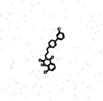 O=c1[nH]c2c(Cl)cccc2c(=O)n1CCCN1CC=C(c2cccc(Cl)c2)CC1